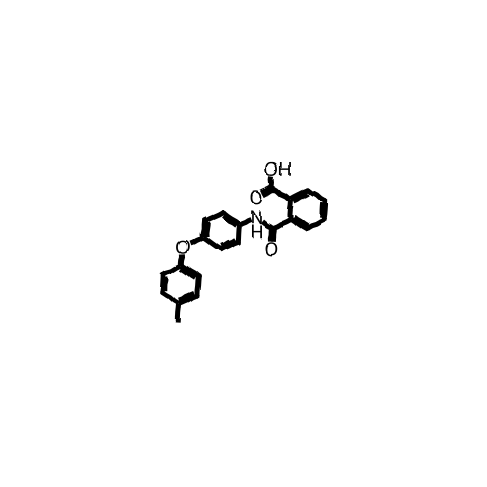 Cc1ccc(Oc2ccc(NC(=O)c3ccccc3C(=O)O)cc2)cc1